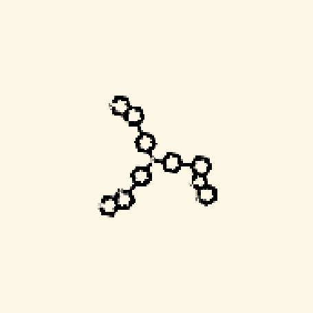 c1cnc2oc3c(-c4ccc(N(c5ccc(-c6ccc7ccncc7n6)cc5)c5ccc(-c6ccc7ccncc7n6)cc5)cc4)cccc3c2c1